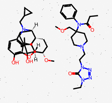 CCC(=O)N(c1ccccc1)C1(COC)CCN(CCn2nnn(CC)c2=O)CC1.CO[C@@]12CC[C@@]3(C[C@@H]1[C@](C)(O)C(C)(C)C)[C@H]1Cc4ccc(O)c5c4[C@@]3(CCN1CC1CC1)[C@H]2O5